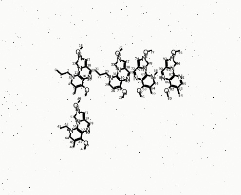 CCCN1CC(C)=C(OC)C2=C1N1CN(OC)C=C1C=N2.CCCN1CC=C(OC)C2=C1N1CN(OC)C=C1C=N2.CCN1CC(C)=C(OC)C2=C1N1CN(OC)C=C1C=N2.COC1=C(C)CN(C)C2=C1N=CC1=CN(OC)CN12.COc1c(C)cnc2c1N=CC1=CN(OC)CN12